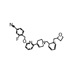 N#Cc1ccc(COc2cccc(C3=CCN(CC4C=CC=C[C@@H]4CC4CCO4)CC3)n2)c(F)c1